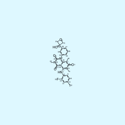 Cc1c(=O)n(C)c(Nc2ccc(I)cc2F)c2c(=O)n(C)c(=O)n(-c3cccc(C4(O)COC4)c3)c12